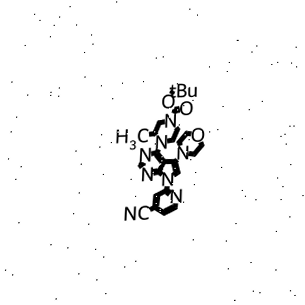 CC1CN(C(=O)OC(C)(C)C)CCN1c1ncnc2c1c(N1CCOCC1)cn2-c1cc(C#N)ccn1